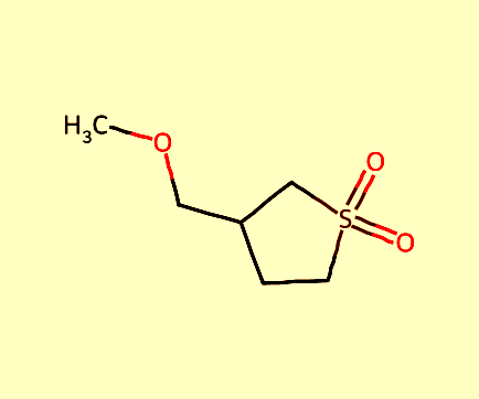 COCC1CCS(=O)(=O)C1